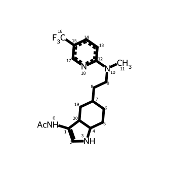 CC(=O)NC1=CNC2CCC(CCN(C)c3ccc(C(F)(F)F)cn3)CC12